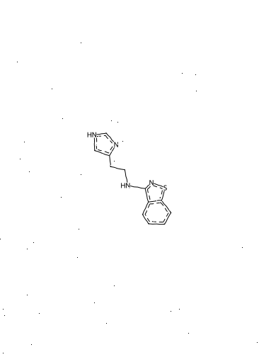 c1ccc2c(NCCc3c[nH]cn3)nsc2c1